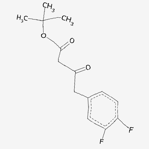 CC(C)(C)OC(=O)CC(=O)Cc1ccc(F)c(F)c1